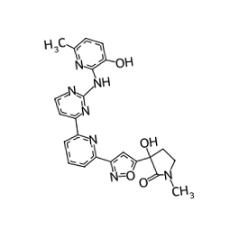 Cc1ccc(O)c(Nc2nccc(-c3cccc(-c4cc(C5(O)CCN(C)C5=O)on4)n3)n2)n1